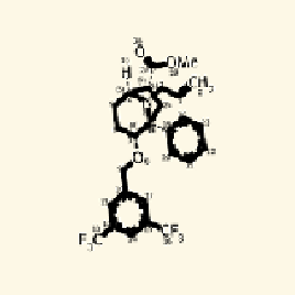 C=CCN1[C@H]2CC[C@@H](OCc3cc(C(F)(F)F)cc(C(F)(F)F)c3)[C@]1(c1ccccc1)C[C@H]2C(=O)OC